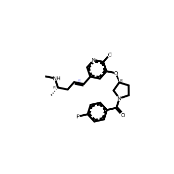 CN[C@@H](C)C/C=C/c1cnc(Cl)c(O[C@H]2CCN(C(=O)c3ccc(F)cc3)C2)c1